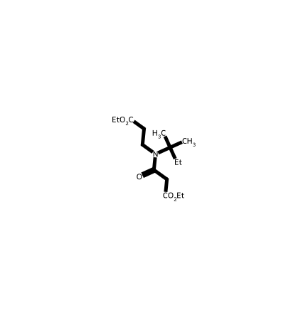 CCOC(=O)CCN(C(=O)CC(=O)OCC)C(C)(C)CC